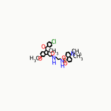 COc1ccc2c(c1)C(CC(=O)NCCCNS(=O)(=O)c1cccc3c(N(C)C)cccc13)=C(C)C2C(=O)c1ccc(Cl)cc1